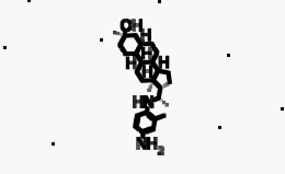 Cc1cc(N)ccc1N[C@@H](C)[C@H]1CC[C@H]2[C@@H]3CC[C@@H]4C[C@](C)(O)CC[C@@H]4[C@H]3CC[C@]12C